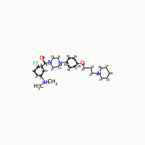 CN(C)c1ccc(F)c(C(=O)N2CCN(c3ccc(OCCCN4CCCCC4)cc3)CC2)c1